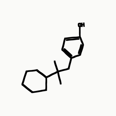 CC(C)(Cc1ccc(O)cc1)C1CCCCC1